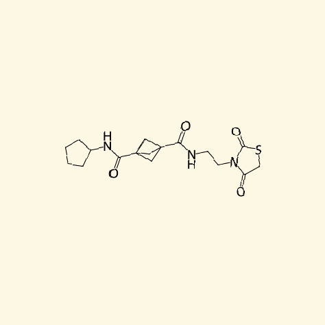 O=C1CSC(=O)N1CCNC(=O)C12CC(C(=O)NC3CCCC3)(C1)C2